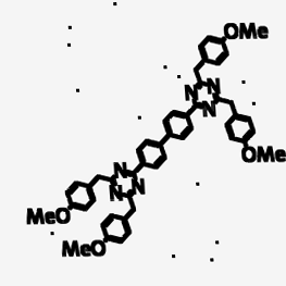 COc1ccc(Cc2nc(Cc3ccc(OC)cc3)nc(-c3ccc(-c4ccc(-c5nc(Cc6ccc(OC)cc6)nc(Cc6ccc(OC)cc6)n5)cc4)cc3)n2)cc1